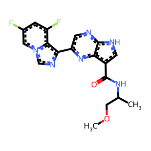 COCC(C)NC(=O)c1c[nH]c2ncc(-c3ncn4cc(F)cc(F)c34)nc12